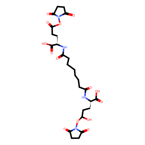 O=C(CCCCCCC(=O)N[C@@H](CCC(O)ON1C(=O)CCC1=O)C(=O)O)N[C@@H](CCC(=O)ON1C(=O)CCC1=O)C(=O)O